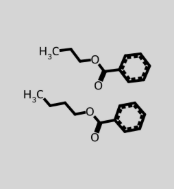 CCCCOC(=O)c1ccccc1.CCCOC(=O)c1ccccc1